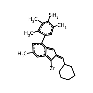 Cc1cc(-c2cc(C)c([SiH3])c(C)c2C)c2c(c1)=[C]([Zr])C(=CC1CCCCC1)C=2